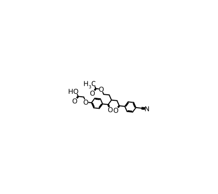 CC(=O)OCCC(CC(=O)c1ccc(C#N)cc1)C(=O)c1ccc(OCC(=O)O)cc1